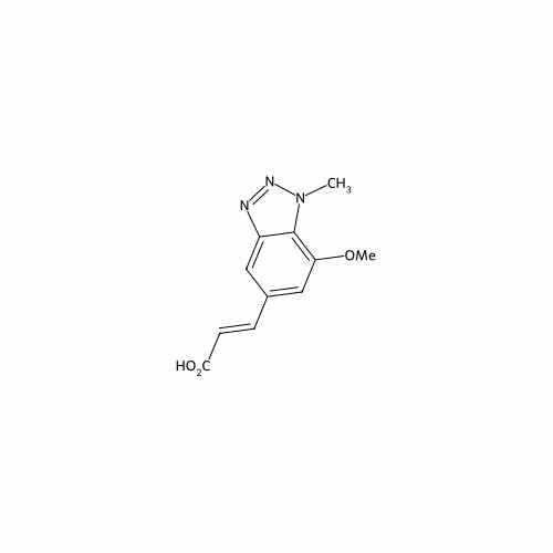 COc1cc(C=CC(=O)O)cc2nnn(C)c12